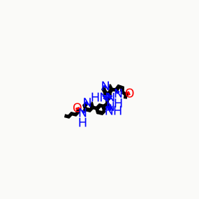 CCCCC(=O)Nc1cncc(-c2ccc3[nH]nc(-c4nc5c(-c6ccc(C(C)=O)[nH]6)cncc5[nH]4)c3c2)c1